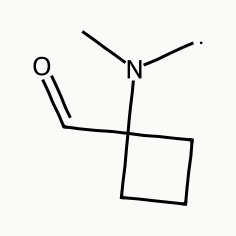 [CH2]N(C)C1(C=O)CCC1